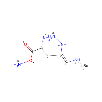 CCCCN/C=C(/C[C@@H](N)C(=O)ON)NN